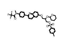 Cc1ccc(S(=O)(=O)OCC(COc2ccc3nc(-c4ccc(N(C)C(=O)C(F)(F)F)cc4)ccc3c2)OC2CCCCO2)cc1